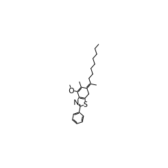 CCCCCCCCC(C)=C1Cc2sc(-c3ccccc3)nc2C(OC)=C1C